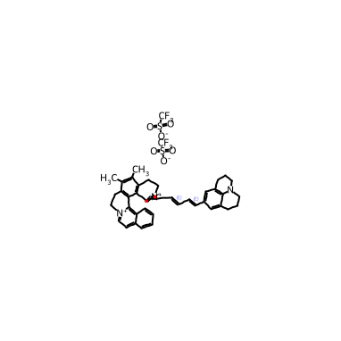 Cc1c(C)c2c(c3c1CC[n+]1ccc4ccccc4c1-3)-c1cccc(/C=C/C=C/c3cc4c5c(c3)CCCN5CCC4)[n+]1CC2.O=S(=O)([O-])C(F)(F)F.O=S(=O)([O-])C(F)(F)F